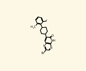 Cc1cccc(F)c1C1CCC(c2cc3nc(Br)cnc3[nH]c2=O)CC1